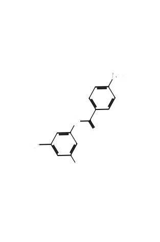 O=C(Oc1cc(Cl)cc(Cl)c1)c1ccc([N+](=O)[O-])cc1